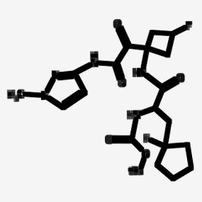 Cn1ccc(NC(=O)C(=O)C2(NC(=O)C(CC3(F)CCCC3)NC(=O)OC(C)(C)C)CC(F)C2)n1